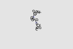 [C-]#[N+]C1=C[C@](C)(/C=C/C(=O)C(C)(C)C2(/C=C/c3ccc(O[Si](C)(C)C(C)(C)C)c(OC)c3)OCCO2)CC(C)(C)C1=O